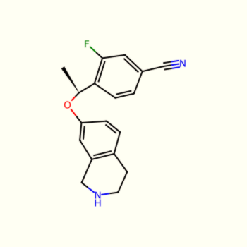 C[C@H](Oc1ccc2c(c1)CNCC2)c1ccc(C#N)cc1F